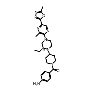 CC[C@H]1CN(c2ncc(-c3nnc(C)o3)nc2C)CCN1C1CCN(C(=O)c2ccc(N)cc2)CC1